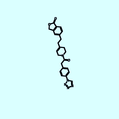 O=C1OCc2cc(CCC3=CCN(C(=O)Cc4ccc(-n5cnnn5)cc4)CC3)ccc21